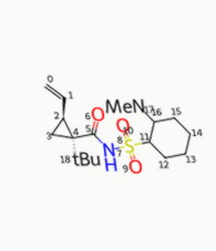 C=C[C@@H]1C[C@@]1(C(=O)NS(=O)(=O)C1CCCCC1NC)C(C)(C)C